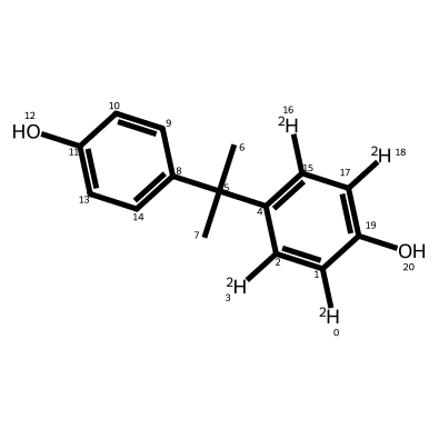 [2H]c1c([2H])c(C(C)(C)c2ccc(O)cc2)c([2H])c([2H])c1O